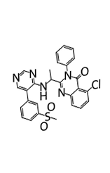 CC(Nc1ncncc1-c1cccc(S(C)(=O)=O)c1)c1nc2cccc(Cl)c2c(=O)n1-c1ccccc1